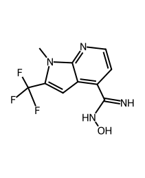 Cn1c(C(F)(F)F)cc2c(C(=N)NO)ccnc21